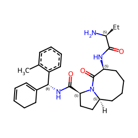 CC[C@H](N)C(=O)N[C@H]1CCCC[C@H]2CC[C@@H](C(=O)N[C@H](C3=CC=CCC3)c3ccccc3C)N2C1=O